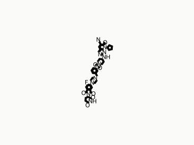 N#Cc1cc2cnc(NC3CCN(S(=O)(=O)c4cccc(CN5CCN(c6cc7c(cc6F)C(=O)N(C6CCC(=O)NC6=O)C7=O)CC5)c4)CC3)nc2n(C2CCCC2)c1=O